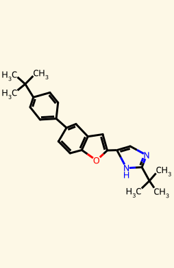 CC(C)(C)c1ccc(-c2ccc3oc(-c4cnc(C(C)(C)C)[nH]4)cc3c2)cc1